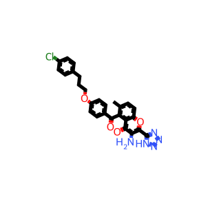 Cc1ccc2oc(-c3nnn[nH]3)c(N)c(=O)c2c1C(=O)c1ccc(OCCCc2ccc(Cl)cc2)cc1